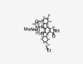 CCSCc1ccc2c(c1)c1c3c(c4c5cc(C)ccc5n5c4c1n2C1C[C@H](NC)[C@@H](CO)C5(C)O1)CNC3=O